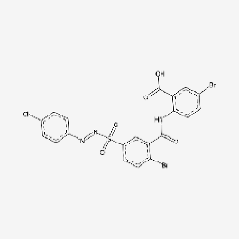 O=C(Nc1ccc(Br)cc1C(=O)O)c1cc(S(=O)(=O)N=Nc2ccc(Cl)cc2)ccc1Br